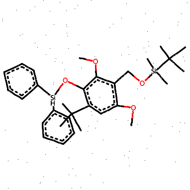 COc1cc(C(C)(C)C)c(O[SiH](c2ccccc2)c2ccccc2)c(OC)c1CO[Si](C)(C)C(C)(C)C